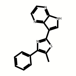 Cc1sc(-c2c[nH]c3nccnc23)nc1-c1ccccc1